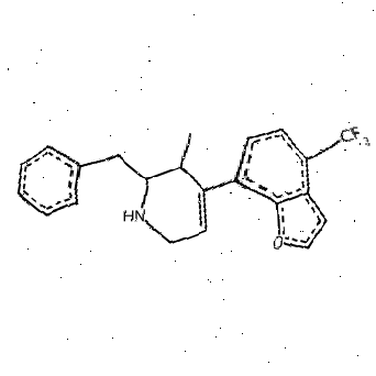 CC1C(c2ccc(C(F)(F)F)c3ccoc23)=CCNC1Cc1ccccc1